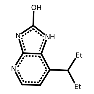 CCC(CC)c1ccnc2nc(O)[nH]c12